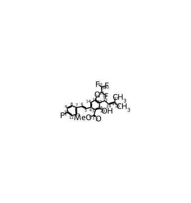 COC(=O)c1c(C=Cc2ccc(F)cc2)cc(OC(F)C(F)F)c(CC=C(C)C)c1O